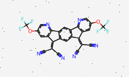 N#CC(C#N)=C1c2cc3c(cc2-c2ncc(OC(F)(F)F)cc21)-c1ncc(OC(F)(F)F)cc1C3=C(C#N)C#N